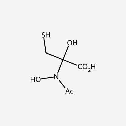 CC(=O)N(O)C(O)(CS)C(=O)O